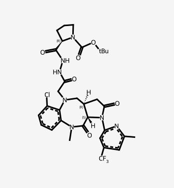 Cc1cc(C(F)(F)F)cc(N2C(=O)C[C@@H]3CN(CC(=O)NNC(=O)[C@H]4CCCN4C(=O)OC(C)(C)C)c4c(Cl)cccc4N(C)C(=O)[C@H]32)n1